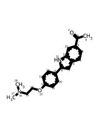 CC(=O)c1ccc2cc(-c3ccc(OCCN(C)C)cc3)[nH]c2c1